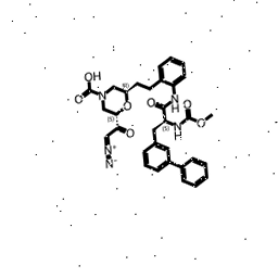 COC(=O)N[C@@H](Cc1cccc(-c2ccccc2)c1)C(=O)Nc1ccccc1CC[C@@H]1CN(C(=O)O)C[C@@H](C(=O)C=[N+]=[N-])O1